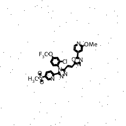 COc1cc(-c2nnc(C=Cc3nnc(-c4ccc(S(C)(=O)=O)cn4)n3-c3ccc(OC(F)(F)F)cc3Cl)o2)ccn1